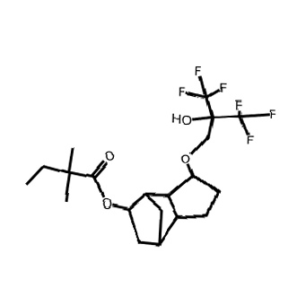 CCC(C)(C)C(=O)OC1CC2CC1C1C(OCC(O)(C(F)(F)F)C(F)(F)F)CCC21